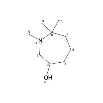 CN1CC(O)CCCC1(C)C